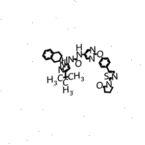 CC(C)(C)c1cc(NC(=O)Nc2cnc(Oc3ccc(-c4cnc(N5CCCC5=O)s4)cc3)nc2)n(C2CCc3ccccc3C2)n1